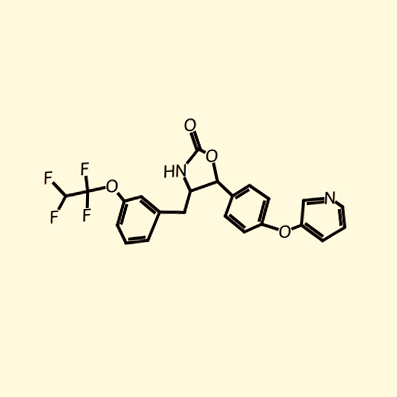 O=C1NC(Cc2cccc(OC(F)(F)C(F)F)c2)C(c2ccc(Oc3cccnc3)cc2)O1